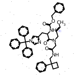 C/C=C/CN(CC(=O)NCC1(c2ccccc2)CCC1)C(=O)C(Cc1cn(C(c2ccccc2)(c2ccccc2)c2ccccc2)cn1)NC(=O)OCc1ccccc1